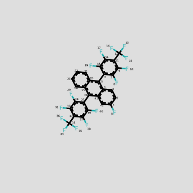 Fc1ccc2c(-c3c(F)c(F)c(C(F)(F)F)c(F)c3F)c3ccccc3c(-c3c(F)c(F)c(C(F)(F)F)c(F)c3F)c2c1